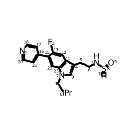 CC(C)Cn1cc(CCN[SH](=O)=O)c2cc(F)c(-c3ccncc3)cc21